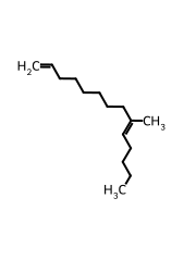 C=CCCCCCCC(C)=CCCCC